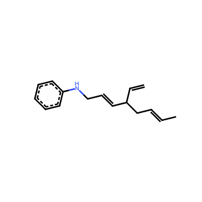 C=CC(/C=C/CNc1ccccc1)C/C=C/C